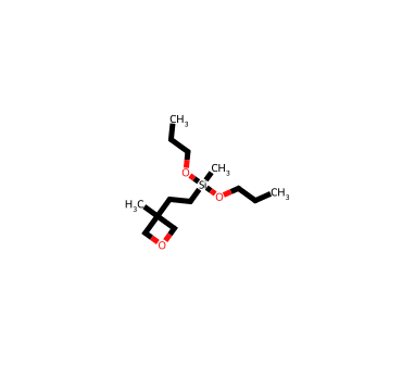 CCCO[Si](C)(CCC1(C)COC1)OCCC